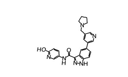 O=C(Nc1ccc(O)nc1)c1n[nH]c2ccc(-c3cncc(CN4CCCC4)c3)cc12